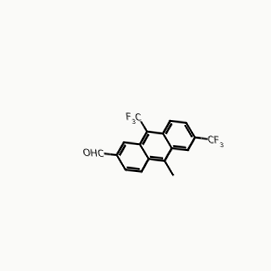 Cc1c2cc(C(F)(F)F)ccc2c(C(F)(F)F)c2cc(C=O)ccc12